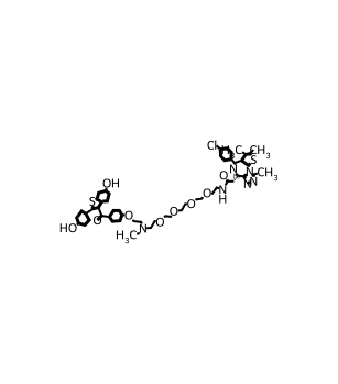 CCN(CCOCCOCCOCCOCCNC(=O)C[C@@H]1N=C(c2ccc(Cl)cc2)c2c(sc(C)c2C)-n2c(C)nnc21)CCOc1ccc(C(=O)c2c(-c3ccc(O)cc3)sc3cc(O)ccc23)cc1